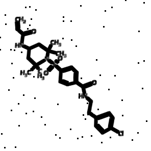 C=CC(=O)NC1CC(C)(C)N(S(=O)(=O)c2ccc(C(=O)NCCc3ccc(Cl)cc3)cc2)C(C)(C)C1